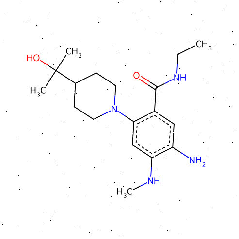 CCNC(=O)c1cc(N)c(NC)cc1N1CCC(C(C)(C)O)CC1